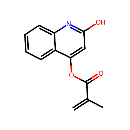 C=C(C)C(=O)Oc1cc(O)nc2ccccc12